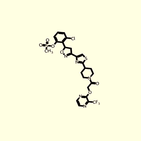 CS(=O)(=O)Oc1cccc(Cl)c1C1CC(c2csc(C3CCN(C(=O)COc4nccnc4C(F)(F)F)CC3)n2)=NO1